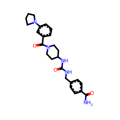 NC(=O)c1ccc(CNC(=O)NC2CCN(C(=O)c3cccc(N4CCCC4)c3)CC2)cc1